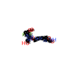 CCc1c(F)ccc2cc(OCOC)cc(-c3ncc4c(N5CCC[C@@](C)(O)C5)nc(OCC5(CN6CCC(N7CCC(c8cccc9c(C%10CCC(=O)NC%10=O)cn(C)c89)CC7)CC6)CC5)nc4c3F)c12